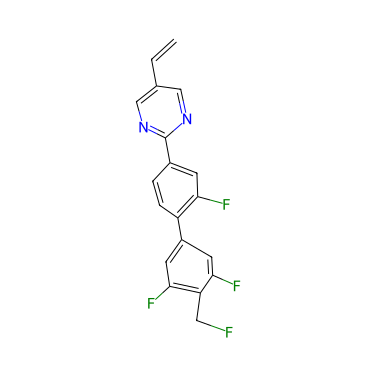 C=Cc1cnc(-c2ccc(-c3cc(F)c(CF)c(F)c3)c(F)c2)nc1